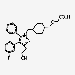 N#CCCc1nn(C[C@H]2CC[C@H](COCC(=O)O)CC2)c(-c2ccccc2)c1-c1cccc(F)c1